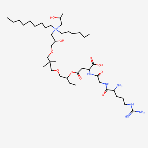 CCCCCCCCC[N+](CCCCCC)(CC(C)O)CC(O)COCC(C)(C)COCC(CC)OC(=O)CC(NC(=O)CNC(=O)C(N)CCCNC(=N)N)C(=O)O